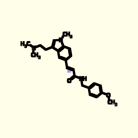 COc1ccc(CNC(=O)/C=C/c2ccc3c(c2)c(CCN(C)C)cn3C)cc1